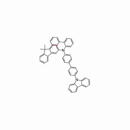 CC1(C)c2ccccc2-c2cc(N(c3ccc(-c4ccc(-n5c6ccccc6c6ccccc65)cc4)cc3)c3ccccc3-c3ccccc3)ccc21